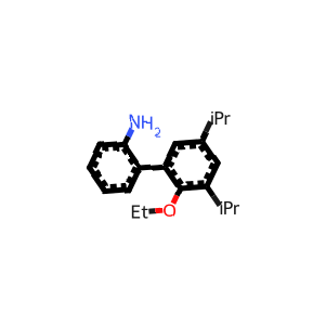 CCOc1c(-c2ccccc2N)cc(C(C)C)cc1C(C)C